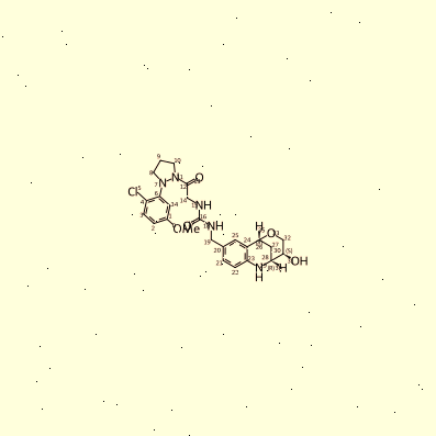 COc1ccc(Cl)c(N2CCCN2C(=O)CNC(=O)NCc2ccc3c(c2)[C@H]2C[C@@H](N3)[C@H](O)CO2)c1